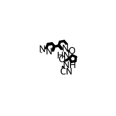 CN(C)c1ccc(C2=CN(C(=O)NC3(C(=O)NCC#N)CCCC3)CCC2)cn1